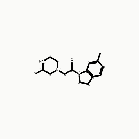 Cc1ccc2c(c1)N(C(=O)CN1CCNC(C)C1)CC2